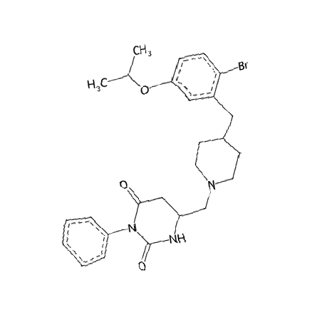 CC(C)Oc1ccc(Br)c(CC2CCN(CC3CC(=O)N(c4ccccc4)C(=O)N3)CC2)c1